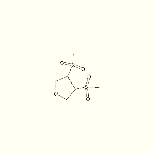 CS(=O)(=O)C1COCC1S(C)(=O)=O